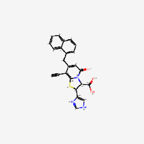 C#Cc1c(Cc2cccc3ccccc23)cc(=O)n2c1SC(c1c[nH]cn1)C2C(=O)O